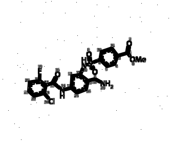 COC(=O)c1ccc(S(=O)(=O)Nc2cc(NC(=O)c3c(F)cccc3Cl)ccc2CN)cc1